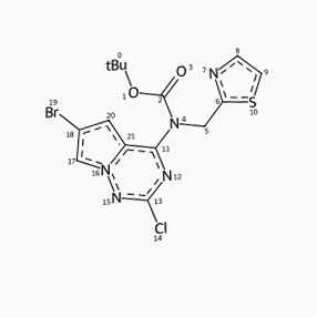 CC(C)(C)OC(=O)N(Cc1nccs1)c1nc(Cl)nn2cc(Br)cc12